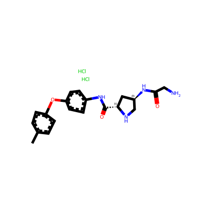 Cc1ccc(Oc2ccc(NC(=O)[C@@H]3C[C@@H](NC(=O)CN)CN3)cc2)cc1.Cl.Cl